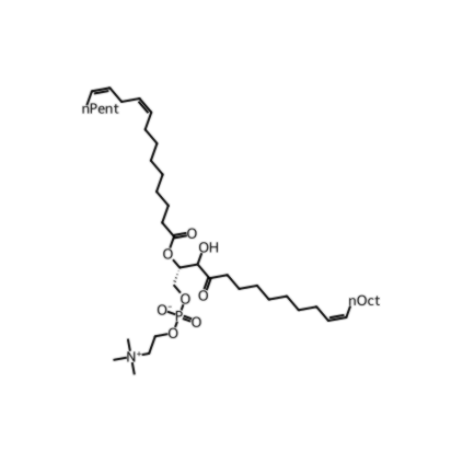 CCCCC/C=C\C/C=C\CCCCCCCC(=O)O[C@@H](COP(=O)([O-])OCC[N+](C)(C)C)C(O)C(=O)CCCCCCC/C=C\CCCCCCCC